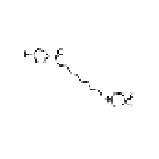 O=C(CCCCCCCCCN1CCC(F)(F)CC1)c1ccc(I)cc1